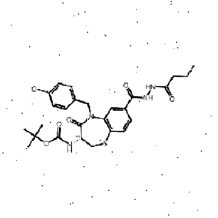 CCCC(=O)NNC(=O)c1ccc2c(c1)N(Cc1ccc(Cl)cc1)C(=O)[C@@H](NC(=O)OC(C)(C)C)CS2